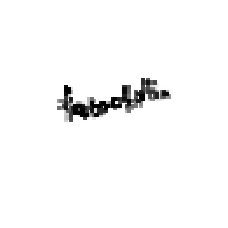 C=CCOC(=O)Nc1ccc2c(ccn2C(=O)c2cc(-c3ccc(NC(=O)c4nc(NC(=O)OC(C)(C)C)cn4C)cc3)cn2C)c1